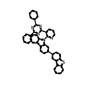 c1ccc(-c2nc(-c3ccccc3)nc(-c3cccnc3-n3c4ccccc4c4ccc(-c5ccc6sc7ccccc7c6c5)cc43)n2)cc1